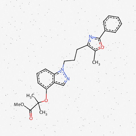 COC(=O)C(C)(C)Oc1cccc2c1cnn2CCCc1nc(-c2ccccc2)oc1C